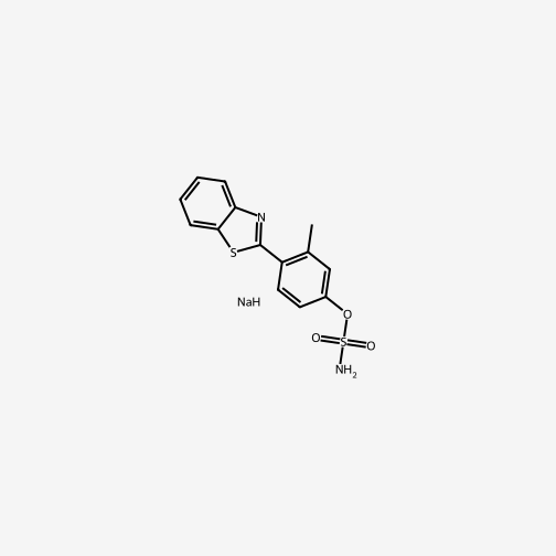 Cc1cc(OS(N)(=O)=O)ccc1-c1nc2ccccc2s1.[NaH]